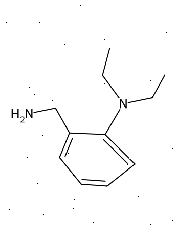 CCN(CC)c1ccccc1CN